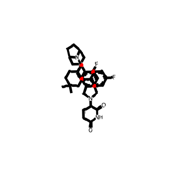 CC1(C)CCC(CN2C3CCC2CN(c2cc4c(cc2F)CN(C2CCC(=O)NC2=O)C4)C3)=C(c2ccc(F)cc2)C1